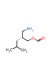 CC(C)C[C@H](CN)COC=O